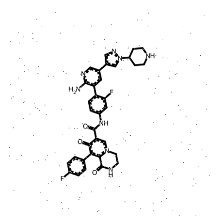 Nc1ncc(-c2cnn(C3CCNCC3)c2)cc1-c1ccc(NC(=O)c2cn3c(c(-c4ccc(F)cc4)c2=O)C(=O)NCC3)cc1F